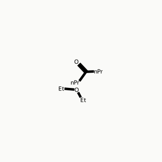 CCCC(=O)CCC.CCOCC